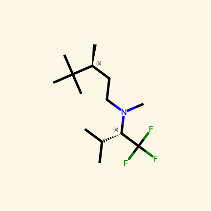 CC(C)[C@H](N(C)CC[C@H](C)C(C)(C)C)C(F)(F)F